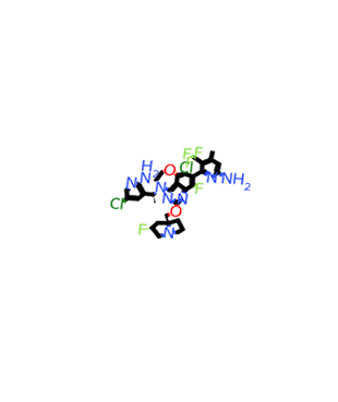 Cc1cc(N)nc(-c2c(Cl)c3c4c(nc(OC[C@@]56CCCN5C[C@H](F)C6)nc4c2F)N([C@H](C)c2cc(Cl)cnc2N)CCO3)c1C(F)(F)F